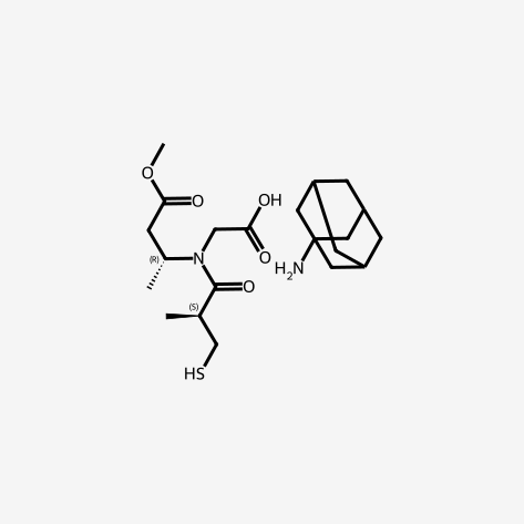 COC(=O)C[C@@H](C)N(CC(=O)O)C(=O)[C@H](C)CS.NC12CC3CC(CC(C3)C1)C2